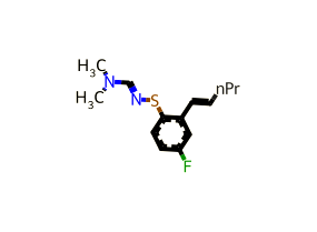 CCC/C=C/c1cc(F)ccc1S/N=C/N(C)C